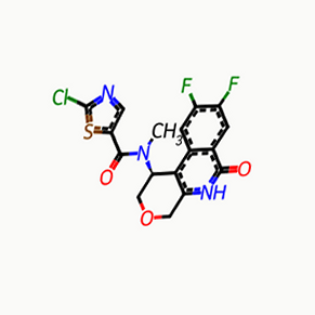 CN(C(=O)c1cnc(Cl)s1)[C@@H]1COCc2[nH]c(=O)c3cc(F)c(F)cc3c21